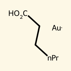 CCCCCC(=O)O.[Au]